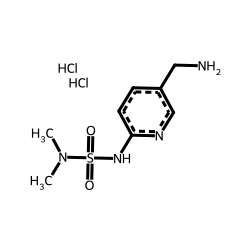 CN(C)S(=O)(=O)Nc1ccc(CN)cn1.Cl.Cl